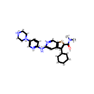 CCN(CC)C(=O)c1sc2cnc(Nc3ccc(N4CCNCC4)cn3)cc2c1C1CCCCC1